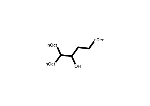 CCCCCCCCCCCCC(O)C(CCCCCCCC)CCCCCCCC